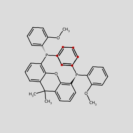 COc1ccccc1[P@](c1ccccc1)c1cccc2c1Oc1c([P@@](c3ccccc3)c3ccccc3OC)cccc1C2(C)C